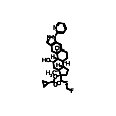 C[C@]12Cc3cnn(-c4ccccn4)c3C=C1CC[C@@H]1[C@@H]2[C@@H](O)C[C@@]2(C)[C@H]1CC[C@]2(OC(=O)C1CC1)C(=O)SCF